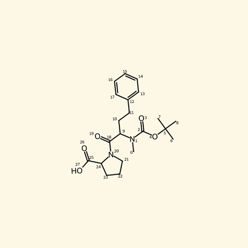 CN(C(=O)OC(C)(C)C)C(CCc1ccccc1)C(=O)N1CCCC1C(=O)O